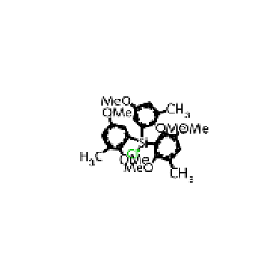 COc1cc(C)c(OC)c([Si](Cl)(c2cc(OC)cc(C)c2OC)c2cc(OC)cc(C)c2OC)c1